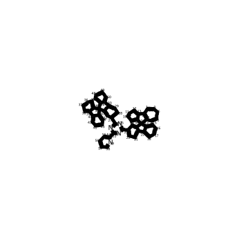 C1=CC2=C(C=CC1)C1(c3ccccc32)c2ccccc2-c2ccc(-c3nc(-c4ccc5c(c4)C4(c6ccccc6-c6ccccc64)c4ccccc4-5)nc(-c4ccccn4)n3)cc21